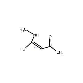 CN/C(O)=C\C(C)=O